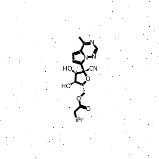 Cc1ncnn2c([C@]3(C#N)O[C@H](COC(=O)CC(C)C)[C@@H](O)[C@H]3O)ccc12